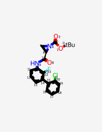 CC(C)(C)OC(=O)N1C[C@@H]1C(=O)Nc1cccc(-c2ccccc2Cl)c1F